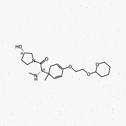 CN[C@H](C(=O)N1CC[C@H](O)C1)C1(C)C=CC(OCCOC2CCCCO2)=CC1